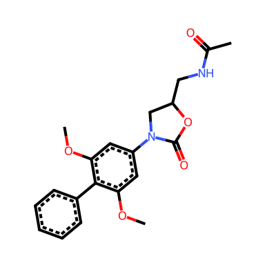 COc1cc(N2CC(CNC(C)=O)OC2=O)cc(OC)c1-c1ccccc1